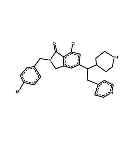 CCc1ccc(CN2Cc3cc(C(Cc4ccncc4)C4CCNCC4)cc(Cl)c3C2=O)cc1